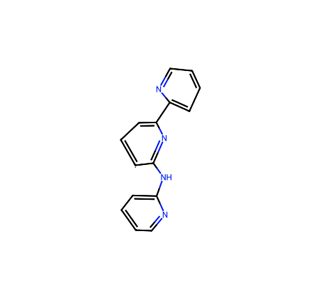 [c]1ccc(-c2ccccn2)nc1Nc1ccccn1